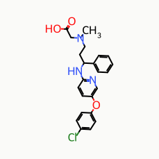 CN(CCC(Nc1ccc(Oc2ccc(Cl)cc2)cn1)c1ccccc1)CC(=O)O